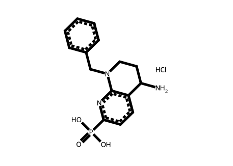 Cl.NC1CCN(Cc2ccccc2)c2nc(P(=O)(O)O)ccc21